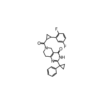 O=C(C1CC1c1cc(F)ccc1F)N1CCc2nc(C3(c4ccccc4)CC3)[nH]c(=O)c2C1